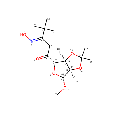 CO[C@@H]1O[C@H](C(=O)CC(=NO)C(C)(C)C)[C@H]2OC(C)(C)O[C@@H]12